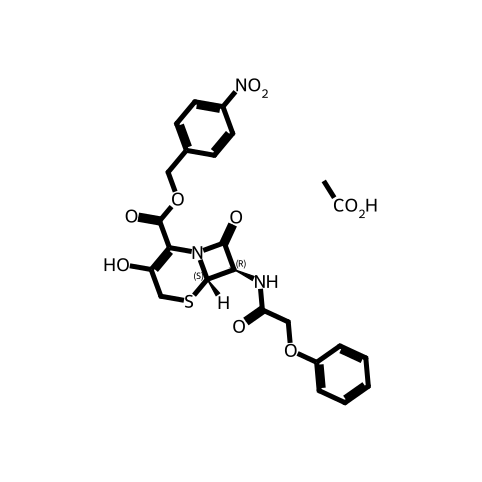 CC(=O)O.O=C(COc1ccccc1)N[C@@H]1C(=O)N2C(C(=O)OCc3ccc([N+](=O)[O-])cc3)=C(O)CS[C@@H]12